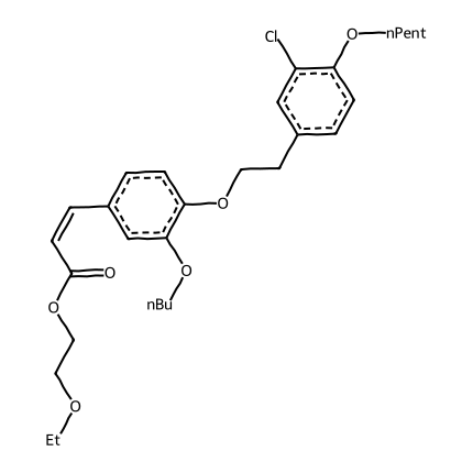 CCCCCOc1ccc(CCOc2ccc(/C=C\C(=O)OCCOCC)cc2OCCCC)cc1Cl